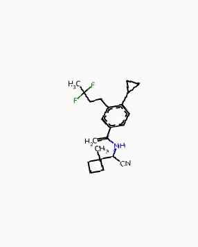 C=C(NC(C#N)C1(C)CCC1)c1ccc(C2CC2)c(CCC(C)(F)F)c1